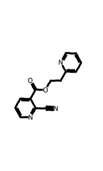 N#Cc1ncccc1C(=O)OCCc1ccccn1